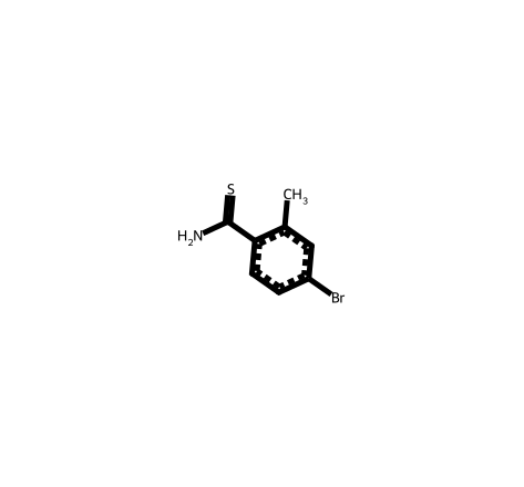 Cc1cc(Br)ccc1C(N)=S